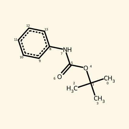 CC(C)(C)OC(=O)Nc1ccccc1